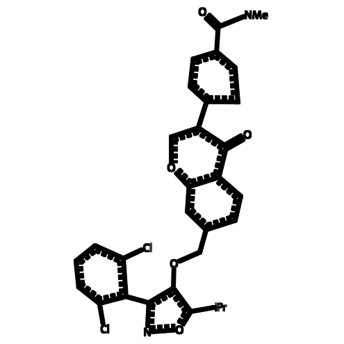 CNC(=O)c1ccc(-c2coc3cc(COc4c(-c5c(Cl)cccc5Cl)noc4C(C)C)ccc3c2=O)cc1